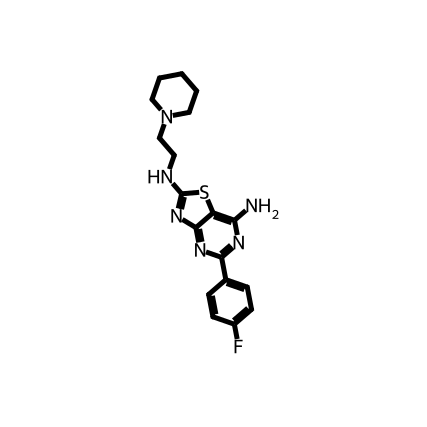 Nc1nc(-c2ccc(F)cc2)nc2nc(NCCN3CCCCC3)sc12